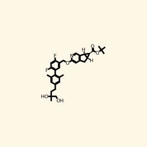 Cc1cc(CCC(C)(O)CO)cc(C)c1-c1cc(COc2cc3c(cn2)[C@H]2[C@@H](C3)[C@@H]2C(=O)OC(C)(C)C)c(F)cc1F